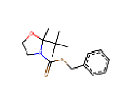 CC(C)(C)C1(C)OCCN1C(=S)SCc1ccccc1